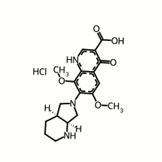 COc1cc2c(=O)c(C(=O)O)c[nH]c2c(OC)c1N1C[C@@H]2CCCN[C@@H]2C1.Cl